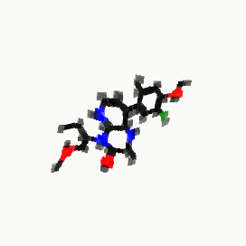 CCC(COC)n1c(=O)c(C)nc2c(-c3cc(F)c(OC)cc3C)ccnc21